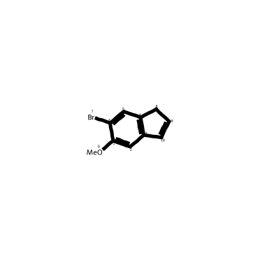 COc1cc2c(cc1Br)CC=C2